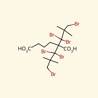 CC(C)(CBr)C(Br)(Br)C(CCCC(=O)O)(C(=O)O)C(Br)(Br)C(C)(C)CBr